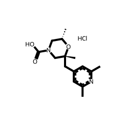 Cc1cc(C[C@]2(C)CN(C(=O)O)C[C@H](C)O2)cc(C)n1.Cl